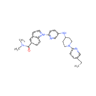 CCc1ccc(N2CCC(Nc3ccc(-n4ccc5cc(C(=O)N(C)C)ccc54)nc3)CC2)nc1